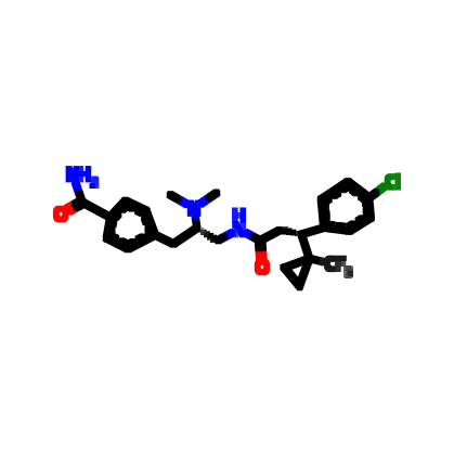 CN(C)[C@H](CNC(=O)C[C@H](c1ccc(Cl)cc1)C1(C(F)(F)F)CC1)Cc1ccc(C(N)=O)cc1